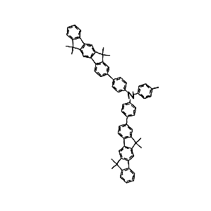 Cc1ccc(N(c2ccc(-c3ccc4c(c3)C(C)(C)c3cc5c(cc3-4)C(C)(C)c3ccccc3-5)cc2)c2ccc(-c3ccc4c(c3)C(C)(C)c3cc5c(cc3-4)C(C)(C)c3ccccc3-5)cc2)cc1